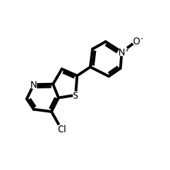 [O-][n+]1ccc(-c2cc3nccc(Cl)c3s2)cc1